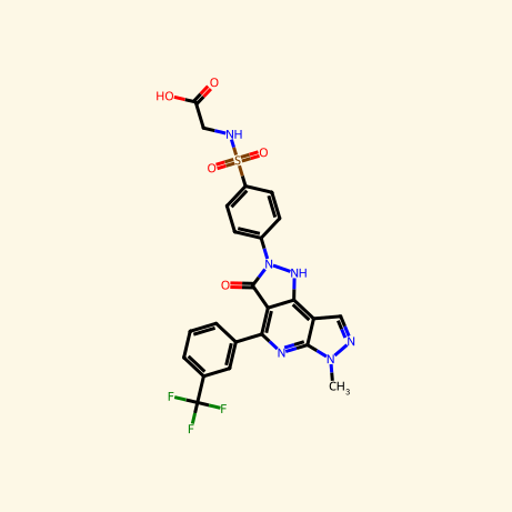 Cn1ncc2c3[nH]n(-c4ccc(S(=O)(=O)NCC(=O)O)cc4)c(=O)c3c(-c3cccc(C(F)(F)F)c3)nc21